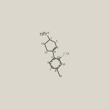 CCCC1CC=C(c2ccc(C)cc2F)CC1